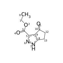 CCOC(=O)c1n[nH]c2c1C(=O)CC2